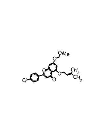 COCOc1cc(OCC=C(C)C)c2c(=O)cc(-c3ccc(Cl)cc3)oc2c1